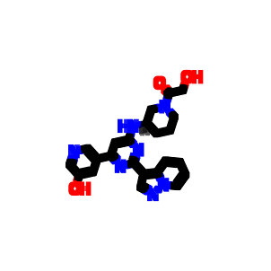 O=C(CO)N1CCC[C@@H](Nc2cc(-c3cncc(O)c3)nc(-c3cnn4ccccc34)n2)C1